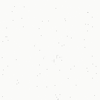 P[c-]1cccc1.[Fe+2].c1cc[cH-]c1